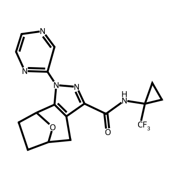 O=C(NC1(C(F)(F)F)CC1)c1nn(-c2cnccn2)c2c1CC1CCC2O1